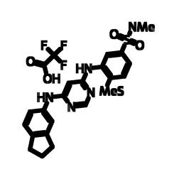 CNS(=O)(=O)c1ccc(SC)c(Nc2cc(Nc3ccc4c(c3)CCC4)ncn2)c1.O=C(O)C(F)(F)F